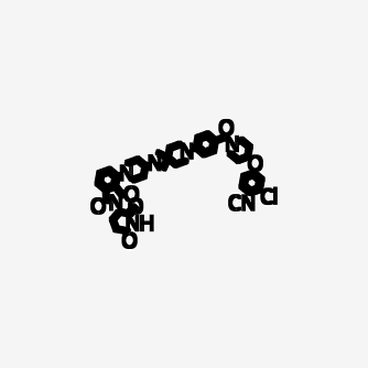 N#Cc1ccc(OC2CCN(C(=O)c3ccc(N4CCC5(CC4)CN(C4CCN(c6cccc7c6C(=O)N(C6CCC(=O)NC6=O)C7=O)CC4)C5)cc3)CC2)cc1Cl